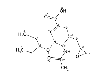 CCC(CC)O[C@@H]1C=C(C(=O)O)CC(CC2CO2)C1NC(C)=O